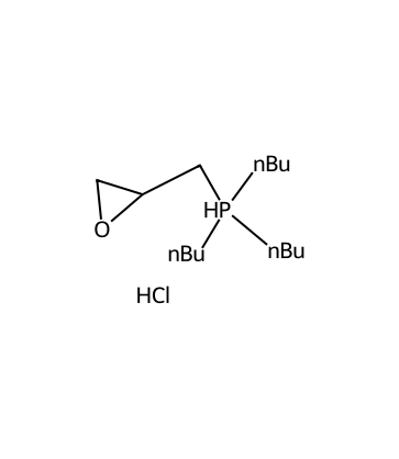 CCCC[PH](CCCC)(CCCC)CC1CO1.Cl